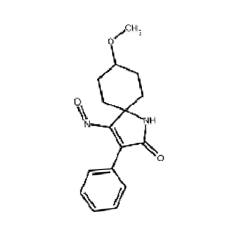 COC1CCC2(CC1)NC(=O)C(c1ccccc1)=C2N=O